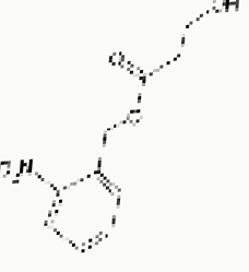 O=C(CCO)OCc1ccccc1[N+](=O)[O-]